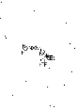 CCON=C(c1ccc(F)c(F)c1)c1ccc(CN2CC3(C2)CN(c2cncc(F)c2)C3)cn1